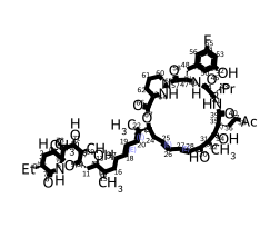 CC[C@H]1C[C@H](C)[C@@]2(NC1=O)O[C@@H](C[C@H](O)[C@@H](C)CC/C=C/C=C(\C)[C@@H]1C/C=C/C=C/[C@H](O)[C@H](C)[C@@H](O)[C@@H](CCC(C)=O)C(=O)N[C@@H](C(C)C)C(=O)N[C@@H](Cc3cc(O)cc(F)c3)C(=O)N3CCCC(N3)C(=O)O1)[C@H](C)[C@H](O)[C@@H]2C